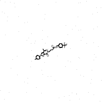 Cc1ccc(-n2cc3c(C)nn(CCCC(=O)NCc4ccc(C(F)(F)F)cc4)c(=O)c3n2)cc1